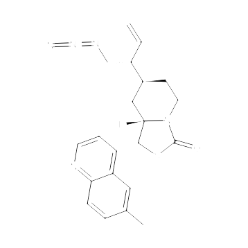 C=C[C@@H](CN=[N+]=[N-])[C@H]1CCN2C(=O)S[C@H](c3ccnc4ccc(C)cc34)[C@@H]2C1